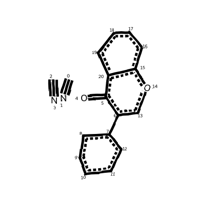 C#N.C#N.O=c1c(-c2ccccc2)coc2ccccc12